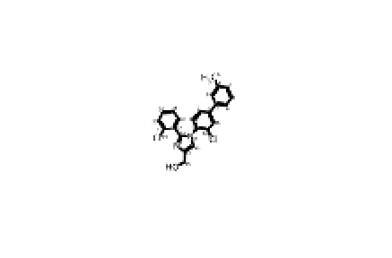 Cc1cccc(-c2ccc(-n3cc(CO)nc3-c3ccccc3Cl)c(Cl)c2)c1